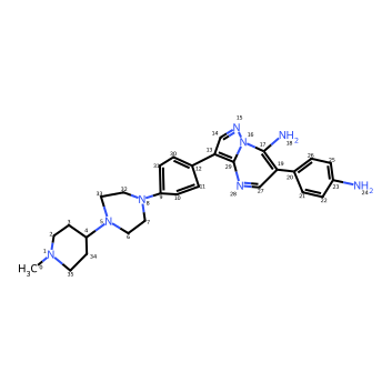 CN1CCC(N2CCN(c3ccc(-c4cnn5c(N)c(-c6ccc(N)cc6)cnc45)cc3)CC2)CC1